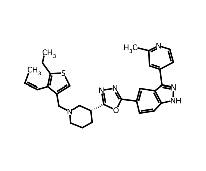 C/C=C\c1c(CN2CCC[C@@H](c3nnc(-c4ccc5[nH]nc(-c6ccnc(C)c6)c5c4)o3)C2)csc1CC